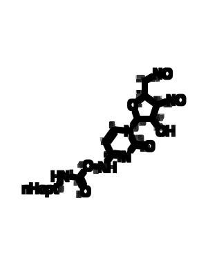 CCCCCCCNC(=O)ONc1ccn(C2OC(CN=O)C(N=O)C2O)c(=O)n1